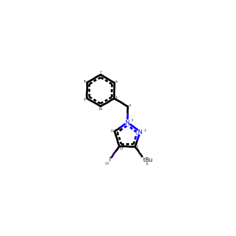 CC(C)(C)c1nn(Cc2ccccc2)cc1I